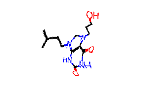 CC(C)CCN1CN(CCCO)c2c1[nH]c(=O)[nH]c2=O